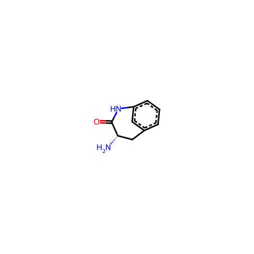 N[C@H]1Cc2cccc(c2)NC1=O